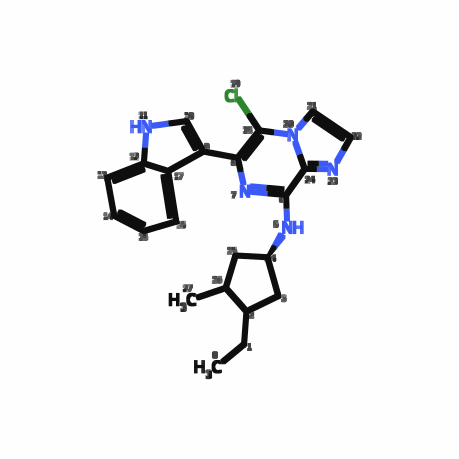 CCC1C[C@H](Nc2nc(-c3c[nH]c4ccccc34)c(Cl)n3ccnc23)CC1C